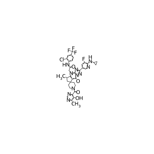 Cc1ncnc(C(=O)N2CCC3(CC2)CC(C)c2c3c(=O)n3nc(-c4cnc(NC5CC5)c(F)c4)nc3n2CC(=O)Nc2ccc(C(F)(F)F)cc2Cl)c1O